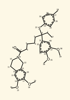 CCC(CCCCC(=O)N1CCc2cc(OC)c(OC)cc2C1)(Sc1ccc(C)cc1)c1ccc(OC)c(OC)c1